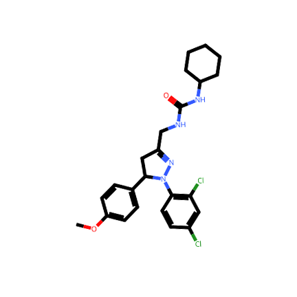 COc1ccc(C2CC(CNC(=O)NC3CCCCC3)=NN2c2ccc(Cl)cc2Cl)cc1